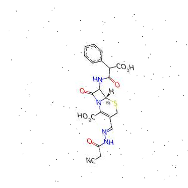 N#CCC(=O)NN=CC1=C(C(=O)O)N2C(=O)C(NC(=O)C(C(=O)O)c3ccccc3)[C@@H]2SC1